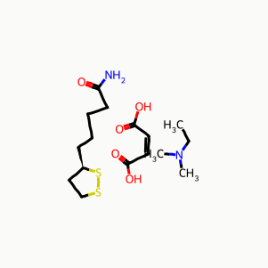 CCN(C)C.NC(=O)CCCC[C@@H]1CCSS1.O=C(O)/C=C\C(=O)O